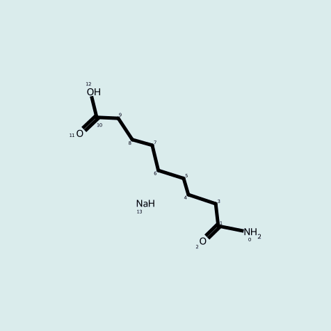 NC(=O)CCCCCCCC(=O)O.[NaH]